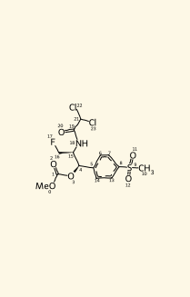 COC(=O)O[C@H](c1ccc(S(C)(=O)=O)cc1)[C@@H](CF)NC(=O)C(Cl)Cl